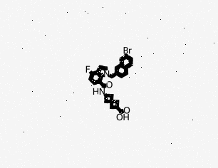 O=C(NC1CC2(C1)CC(C(=O)O)C2)c1ccc(F)c2ccn(Cc3ccc4ccc(Br)cc4c3)c12